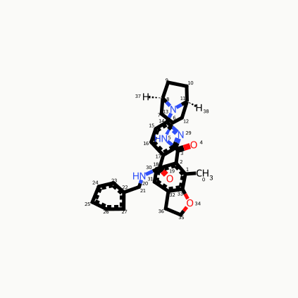 Cc1c(C(=O)N[C@H]2C[C@H]3CC[C@@H](C2)N3c2ccc(C(=O)NCc3ccccc3)cn2)ccc2c1OCC2